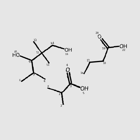 CC(C)C(=O)O.CC(C)C(O)C(C)(C)CO.CCCC(=O)O